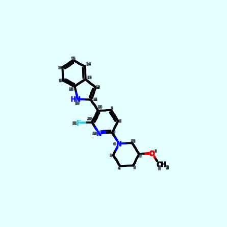 CO[C@H]1CCCN(c2ccc(-c3cc4ccccc4[nH]3)c(F)n2)C1